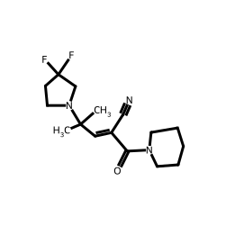 CC(C)(C=C(C#N)C(=O)N1CCCCC1)N1CCC(F)(F)C1